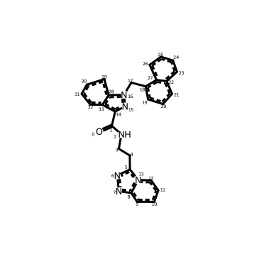 O=C(NCCc1nnc2ccccn12)c1nn(Cc2cccc3ccccc23)c2ccccc12